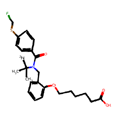 [2H]C(C)(C)N(Cc1ccccc1OCCCCCC(=O)O)C(=O)c1ccc(SCF)cc1